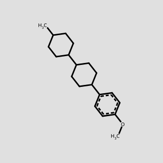 COc1ccc(C2CCC(C3CCC(C)CC3)CC2)cc1